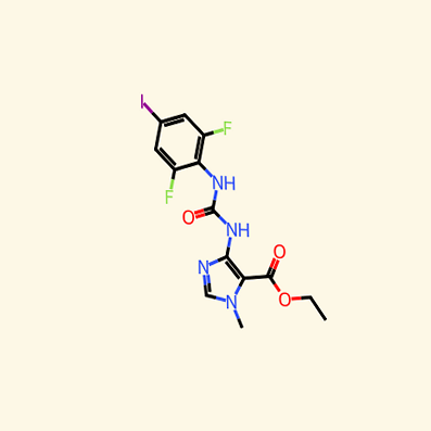 CCOC(=O)c1c(NC(=O)Nc2c(F)cc(I)cc2F)ncn1C